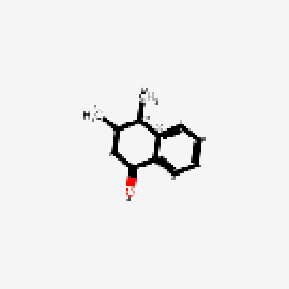 CC1CC(=O)c2ccccc2C1C